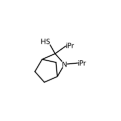 CC(C)N1C2CCC(C2)C1(S)C(C)C